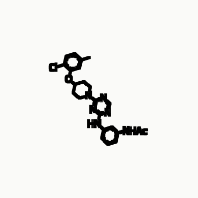 CC(=O)Nc1cccc(Nc2ncnc(N3CCC(Oc4cc(C)ccc4Cl)CC3)n2)c1